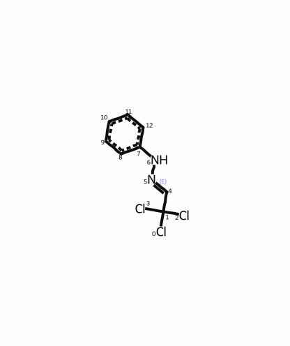 ClC(Cl)(Cl)/C=N/Nc1ccccc1